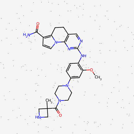 COc1cc(N2CCN(C(=O)C3(C)CNC3)CC2)ccc1Nc1ncc2c(n1)-n1ccc(C(N)=O)c1CC2